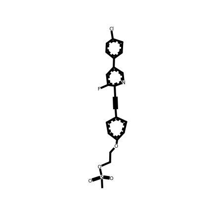 CS(=O)(=O)OCCOc1ccc(C#Cc2ncc(-c3ccc(Cl)cc3)cc2F)cc1